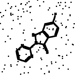 Fc1ccc2c(=S)n(-c3ncccn3)[se]c2c1